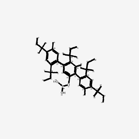 CCC(C)(C)c1cc(C(C)(C)CC)c(-c2cc(OP(O)O)c(-c3cc(C)c(C(C)(C)CC)cc3C(C)(C)CC)c(C)c2C(C)(C)CC)cc1C